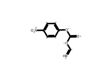 B=COC(=O)Oc1ccc([N+](=O)[O-])cc1